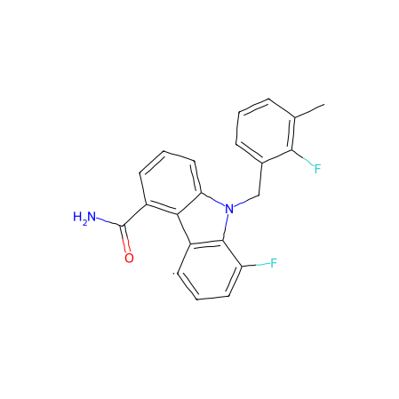 Cc1cccc(Cn2c3cccc(C(N)=O)c3c3[c]ccc(F)c32)c1F